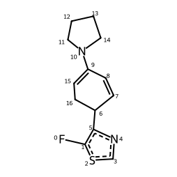 Fc1scnc1C1C=CC(N2CCCC2)=CC1